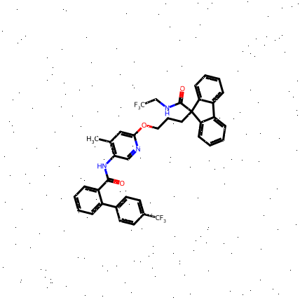 Cc1cc(OCCCC2(C(=O)NCC(F)(F)F)c3ccccc3-c3ccccc32)ncc1NC(=O)c1ccccc1-c1ccc(C(F)(F)F)cc1